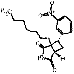 CCCCCCS[C@]12C(=O)NC(=O)[C@H]1C[C@H]2c1cccc([N+](=O)[O-])c1